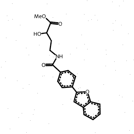 COC(=O)C(O)CCNC(=O)c1ccc(-c2cc3ccccc3o2)cc1